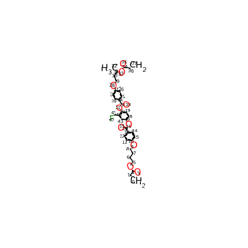 C=CC(=O)OCCCCOc1ccc(C(=O)Oc2ccc(OC(=O)c3ccc(OCCC(C)OC(=O)C=C)cc3)c(CF)c2)cc1